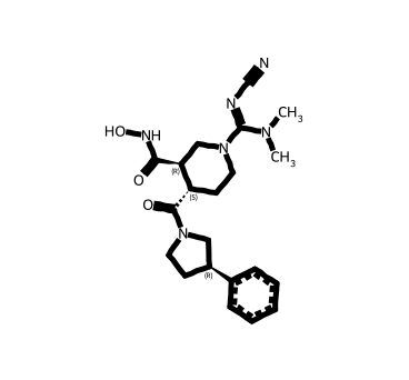 CN(C)C(=NC#N)N1CC[C@H](C(=O)N2CC[C@H](c3ccccc3)C2)[C@@H](C(=O)NO)C1